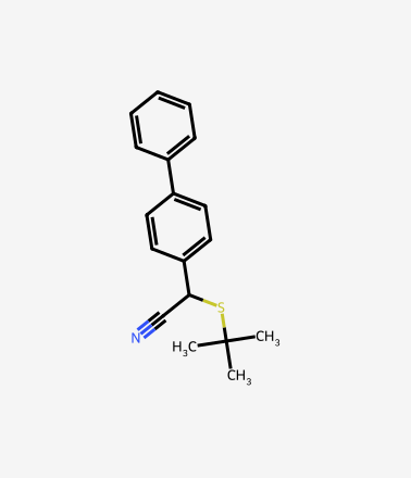 CC(C)(C)SC(C#N)c1ccc(-c2ccccc2)cc1